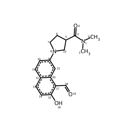 CN(C)C(=O)C1CCN(c2ccc3ccc(O)c(C=O)c3c2)C1